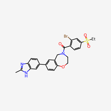 CCS(=O)(=O)c1ccc(C(=O)N2CCOc3ccc(-c4ccc5nc(C)[nH]c5c4)cc3C2)c(Br)c1